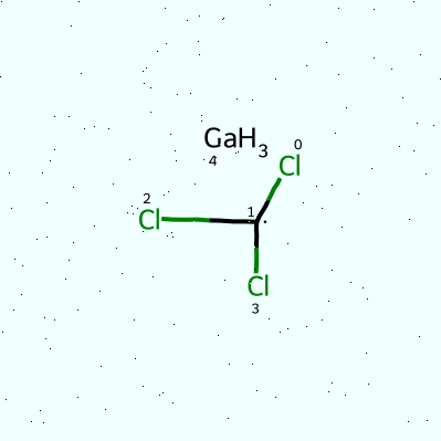 Cl[C](Cl)Cl.[GaH3]